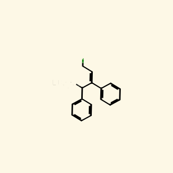 CCOC(=O)C(C(=CCCl)c1ccccc1)c1ccccc1